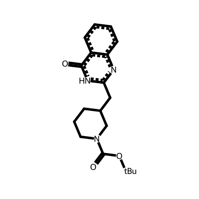 CC(C)(C)OC(=O)N1CCCC(Cc2nc3ccccc3c(=O)[nH]2)C1